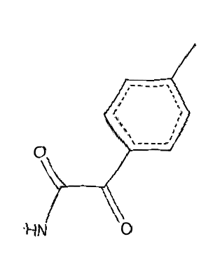 Cc1ccc(C(=O)C([NH])=O)cc1